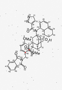 COc1cccc(OC)c1C12CC3CC(C(C(=O)O)C(N(C(=O)C4=CCN=N4)C4=CC=CC5=CCCCC54)(C3)C1)C2S(=O)(=O)CCN1C(=O)c2ccccc2C1=O